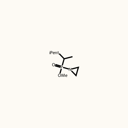 CCCC(C)C(C)P(=O)(OC)N1CC1